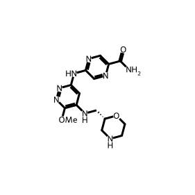 COc1nnc(Nc2cnc(C(N)=O)cn2)cc1NC[C@H]1CNCCO1